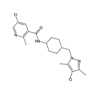 Cc1ncc(Cl)cc1C(=O)NC1CCC(Cn2nc(C)c(Cl)c2C)CC1